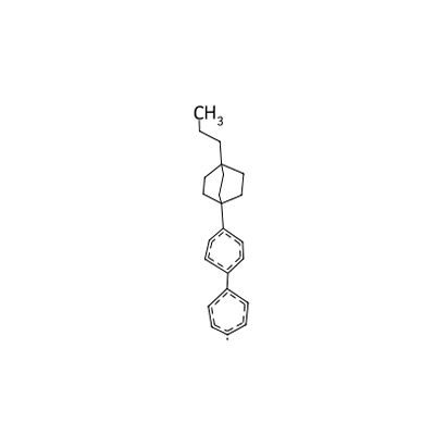 CCCC12CCC(c3ccc(-c4cc[c]cc4)cc3)(CC1)CC2